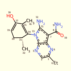 CCc1cnc2c(n1)c(C(N)=O)c(N)n2C1=C(C)C(O)=CC[C@H]1C